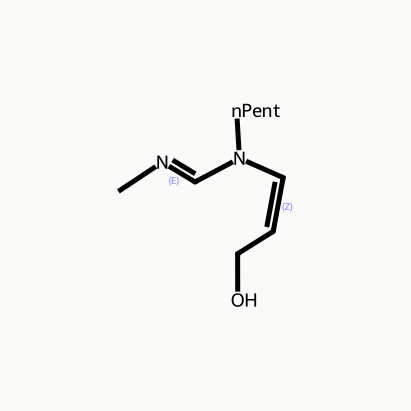 CCCCCN(/C=C\CO)/C=N/C